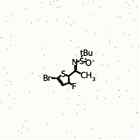 C/C(=N\[S@+]([O-])C(C)(C)C)C1SC(Br)=CC1F